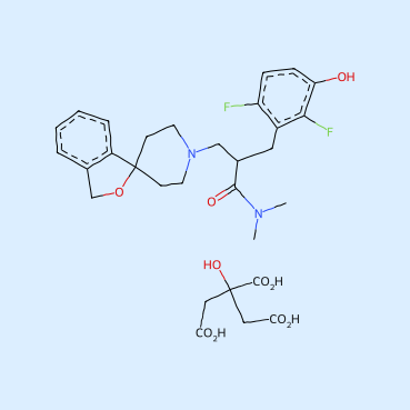 CN(C)C(=O)C(Cc1c(F)ccc(O)c1F)CN1CCC2(CC1)OCc1ccccc12.O=C(O)CC(O)(CC(=O)O)C(=O)O